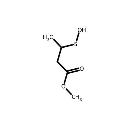 COC(=O)CC(C)SO